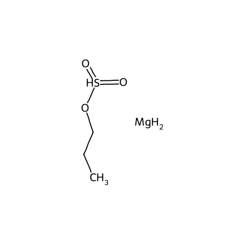 CCCO[SH](=O)=O.[MgH2]